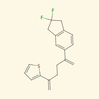 C=C(CCC(=C)c1cccs1)c1ccc2c(c1)CC(F)(F)C2